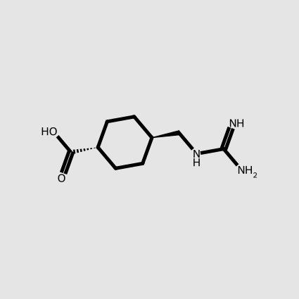 N=C(N)NC[C@H]1CC[C@H](C(=O)O)CC1